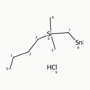 CCCC[Si](C)(C)[CH2][Sn].Cl